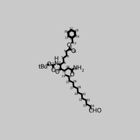 CC(C)(C)OC(=O)NC(CCCCC(=O)OCc1ccccc1)C(=O)[C@@H](CCCCCCCCCCCCC=O)CC(N)=O